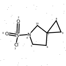 O=S(=O)(Cl)N1CCC2(CC2)C1